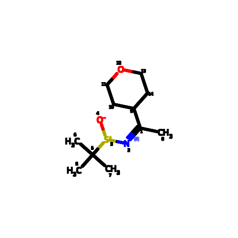 C/C(=N/[S+]([O-])C(C)(C)C)C1CCOCC1